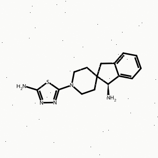 Nc1nnc(N2CCC3(CC2)Cc2ccccc2[C@H]3N)s1